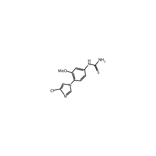 COc1cc(NC(N)=S)ccc1-n1cnc(Cl)c1